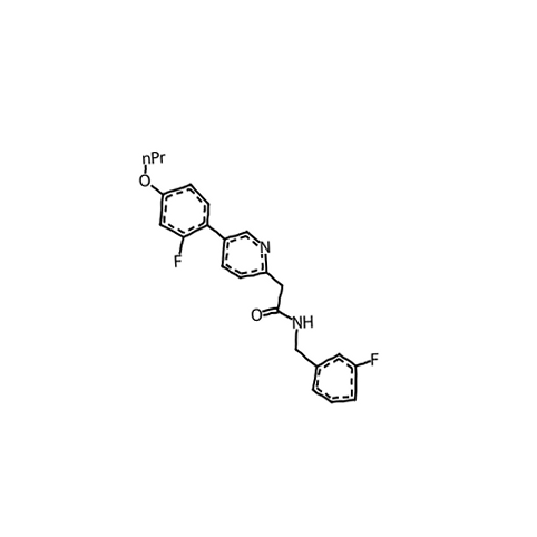 CCCOc1ccc(-c2ccc(CC(=O)NCc3cccc(F)c3)nc2)c(F)c1